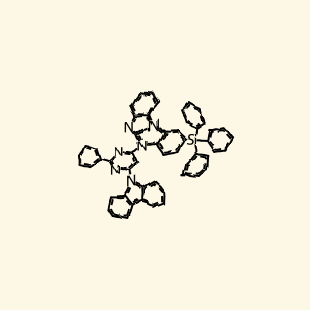 c1ccc(-c2nc(-n3c4ccccc4c4ccccc43)cc(-n3c4ccc([Si](c5ccccc5)(c5ccccc5)c5ccccc5)cc4n4c5ccccc5nc34)n2)cc1